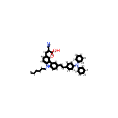 CCCCCCn1c2ccc(C=Cc3ccc(N(c4ccccc4)c4ccccc4)cc3)cc2c2cc(C=C(C#N)C(=O)O)ccc21